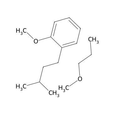 CCCOC.COc1ccccc1CCC(C)C